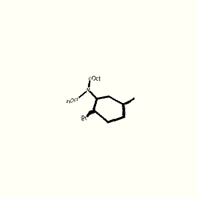 CCCCCCCCN(CCCCCCCC)C1CC(C)CCC1C(C)C